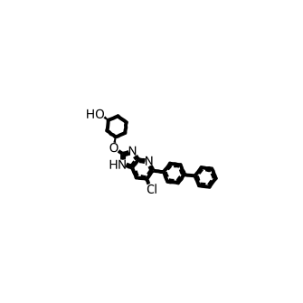 O[C@H]1CCC[C@@H](Oc2nc3nc(-c4ccc(-c5ccccc5)cc4)c(Cl)cc3[nH]2)C1